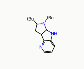 CC(C)(C)C1CC2c3ncccc3NC2N1C(C)(C)C